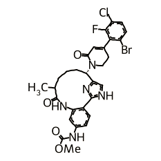 COC(=O)Nc1ccc2c(c1)NC(=O)C(C)CCC[C@H](N1CCC(c3c(Br)ccc(Cl)c3F)=CC1=O)c1c[nH]c-2n1